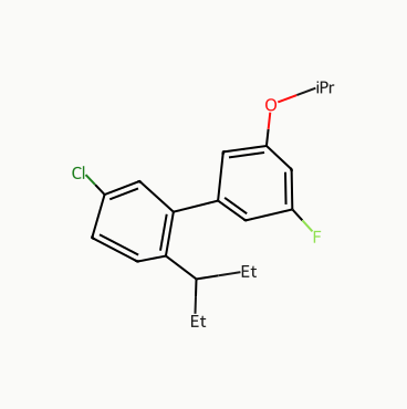 CCC(CC)c1ccc(Cl)cc1-c1cc(F)cc(OC(C)C)c1